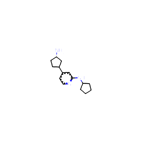 N[C@@H]1CCC(c2ccnc(NC3CCCC3)c2)C1